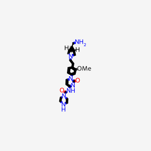 COc1cc(-n2ccc(NC(=O)N3CCNCC3)nc2=O)ccc1CCN1C[C@@H]2[C@@H](CN)[C@@H]2C1